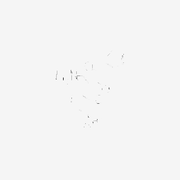 NC1=C(c2cccc([N+](=O)[O-])c2Cl)C(=O)C(c2ccccc2)O1